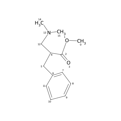 COC(=O)C(Cc1ccccc1)CN(C)C